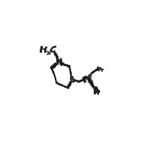 CC(C)N(B1CCCN(C)C1)C(C)C